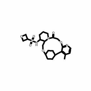 Cc1ccnc2c1C1CCC(CC1)OCC1C(NS(=O)(=O)C3COC3)CCCN1C(=O)CO2